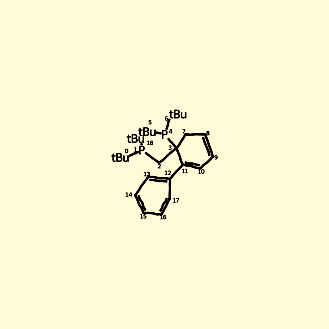 CC(C)(C)P(CC1(P(C(C)(C)C)C(C)(C)C)CC=CC=C1c1ccccc1)C(C)(C)C